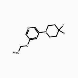 COCOc1cncc(N2CCC(F)(F)CC2)c1